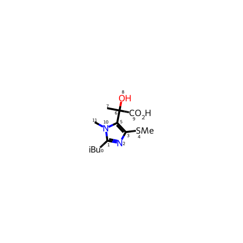 CCC(C)c1nc(SC)c(C(C)(O)C(=O)O)n1C